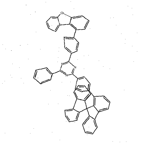 c1ccc(-c2nc(-c3ccc(-c4cccc5c4C4(c6ccccc6-c6ccccc64)c4ccccc4-5)cc3)nc(-c3ccc(-c4cccc5oc6ccccc6c45)cc3)n2)cc1